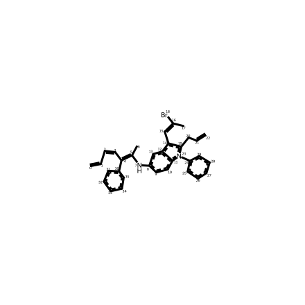 C=C/C=C\C(=C(/C)Nc1ccc2c(c1)c(/C=C(\C)Br)c(CC=C)n2-c1ccccc1)c1ccccc1